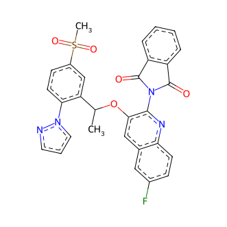 CC(Oc1cc2cc(F)ccc2nc1N1C(=O)c2ccccc2C1=O)c1cc(S(C)(=O)=O)ccc1-n1cccn1